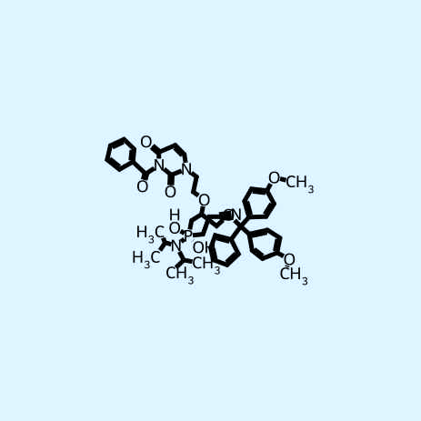 COc1ccc(C(OCC(CP(O)(O)(CCC#N)N(C(C)C)C(C)C)OCCn2ccc(=O)n(C(=O)c3ccccc3)c2=O)(c2ccccc2)c2ccc(OC)cc2)cc1